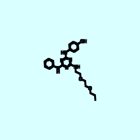 CCCOCCOCCNc1nc(Nc2ccccc2)nc(Nc2ccc(O)cc2)n1